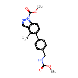 CC(C)(C)OC(=O)NCc1ccc(-c2ccc3c(cnn3C(=O)OC(C)(C)C)c2[N+](=O)[O-])cc1